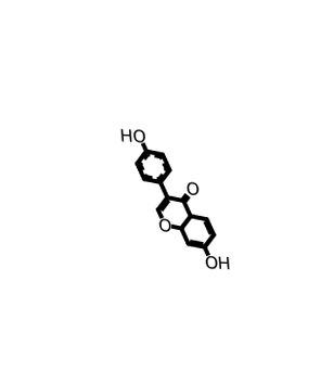 O=C1C(c2ccc(O)cc2)=COC2C=C(O)C=CC12